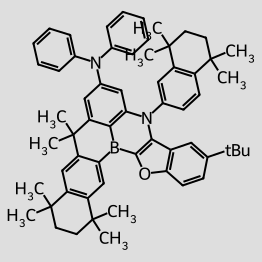 CC(C)(C)c1ccc2oc3c(c2c1)N(c1ccc2c(c1)C(C)(C)CCC2(C)C)c1cc(N(c2ccccc2)c2ccccc2)cc2c1B3c1cc3c(cc1C2(C)C)C(C)(C)CCC3(C)C